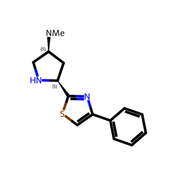 CN[C@@H]1CN[C@H](c2nc(-c3ccccc3)cs2)C1